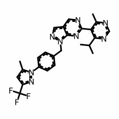 Cc1ncnc(C(C)C)c1-c1ncc2cnn(Cc3ccc(-n4nc(C(F)(F)F)cc4C)cc3)c2n1